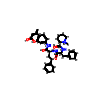 Cc1cc(=O)oc2cc(NC(=O)[C@H](CCc3ccccc3)NC(=O)[C@H](Cc3ccccc3)NC(=O)[C@@H]3CCCCN3C)ccc12